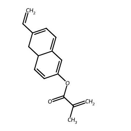 C=CC1=CC=C2C=C(OC(=O)C(=C)C)C=CC2C1